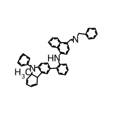 CC12C=CC=CC1c1cc(-c3ccccc3Nc3ccc(/C=N/Cc4ccccc4)c4ccccc34)ccc1N2c1ccccc1